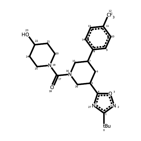 CC(C)(C)c1noc(C2CC(c3ccc(C(F)(F)F)cc3)CN(C(=O)N3CCC(O)CC3)C2)n1